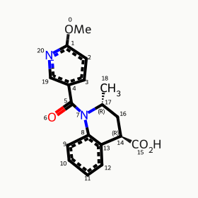 COc1ccc(C(=O)N2c3ccccc3[C@H](C(=O)O)C[C@H]2C)cn1